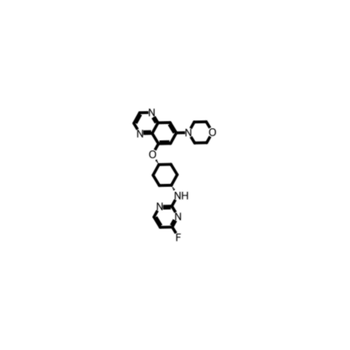 Fc1ccnc(N[C@H]2CC[C@@H](Oc3cc(N4CCOCC4)cc4nccnc34)CC2)n1